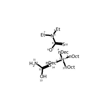 CCCCCCCCCC[N+](CCCCCCCC)(CCCCCCCC)CCCCCCCCCC.CCN(CC)C([O-])=S.NC(O)=S